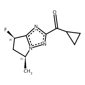 C[C@H]1C[C@@H](F)c2nc(C(=O)C3CC3)nn21